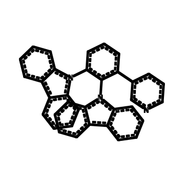 c1cncc(-c2cccc(-n3c4ccccc4c4ccccc43)c2-n2c3ccccc3c3ccccc32)c1